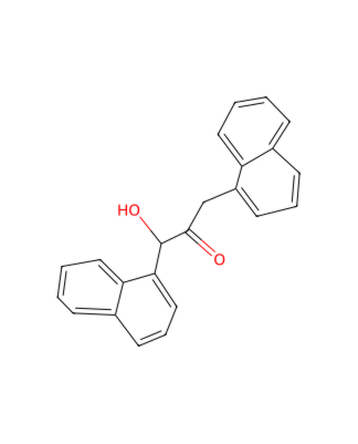 O=C(Cc1cccc2ccccc12)C(O)c1cccc2ccccc12